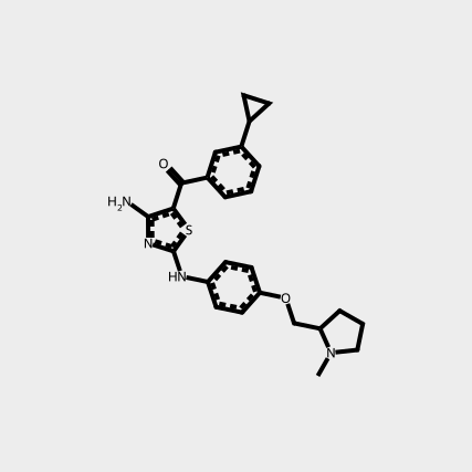 CN1CCCC1COc1ccc(Nc2nc(N)c(C(=O)c3cccc(C4CC4)c3)s2)cc1